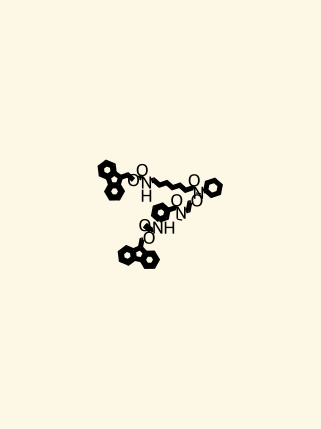 CN(CCON(C(=O)CCCCCCNC(=O)OCC1c2ccccc2-c2ccccc21)C1CCCCC1)C(=O)c1cccc(NC(=O)OCC2c3ccccc3-c3ccccc32)c1